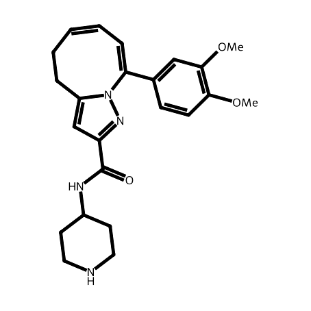 COc1ccc(/C2=C/C=C\CCc3cc(C(=O)NC4CCNCC4)nn32)cc1OC